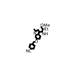 CC[C@@H](COC)C(=N)c1cc(C)nc2cc(OCc3ccc(C#N)cc3)ccc12